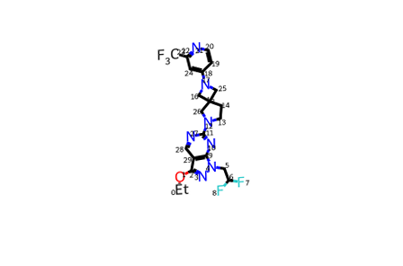 CCOc1nn(CC(F)F)c2nc(N3CCC4(CN(c5ccnc(C(F)(F)F)c5)C4)C3)ncc12